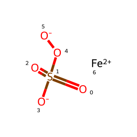 O=S(=O)([O-])O[O-].[Fe+2]